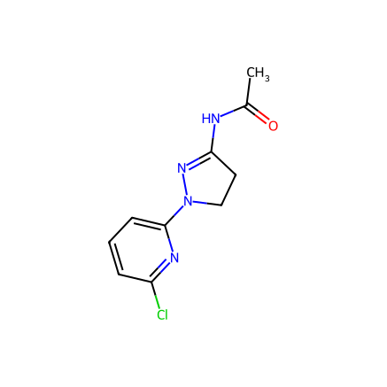 CC(=O)NC1=NN(c2cccc(Cl)n2)CC1